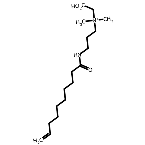 C=CCCCCCCCC(=O)NCCC[N+](C)(C)CC(=O)O